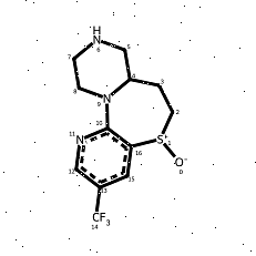 [O-][S+]1CCC2CNCCN2c2ncc(C(F)(F)F)cc21